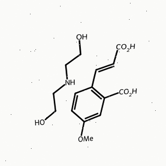 COc1ccc(C=CC(=O)O)c(C(=O)O)c1.OCCNCCO